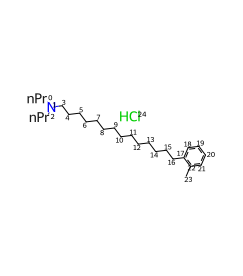 CCCN(CCC)CCCCCCCCCCCCCCc1ccccc1C.Cl